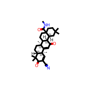 CNC(=O)C12CCC3[C@H](C(=O)C=C4[C@@]3(C)CC[C@H]3C(C)(C)C(=O)C(C#N)=C[C@]43C)[C@@H]1CC(C)(C)CC2